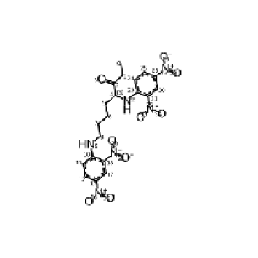 CCC(=O)[C@H](CCCCNc1ccc([N+](=O)[O-])cc1[N+](=O)[O-])Nc1ccc([N+](=O)[O-])cc1[N+](=O)[O-]